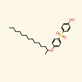 CCCCCCCCCCCCC(C)Oc1ccc(S(=O)(=O)c2ccc(O)cc2)cc1